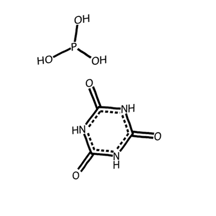 O=c1[nH]c(=O)[nH]c(=O)[nH]1.OP(O)O